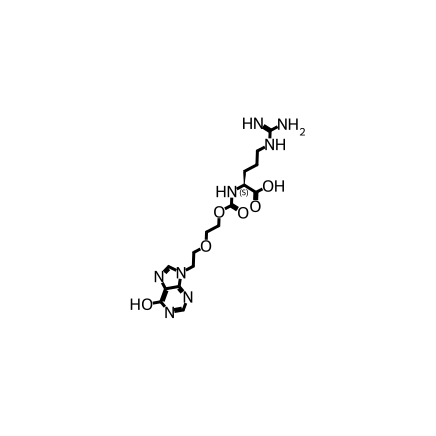 N=C(N)NCCC[C@H](NC(=O)OCCOCCn1cnc2c(O)ncnc21)C(=O)O